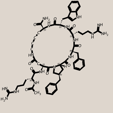 CC(=O)N[C@H](CCCNC(=N)N)C(=O)N[C@H]1CC(=O)NCCCC[C@@H](C(N)=O)NC(=O)[C@H](Cc2c[nH]c3ccccc23)NC(=O)[C@H](CCCNC(=N)N)NC(=O)[C@@H](Cc2ccccc2)NC(=O)[C@@H]2C[C@@H](Cc3ccccc3)CN2C1=O